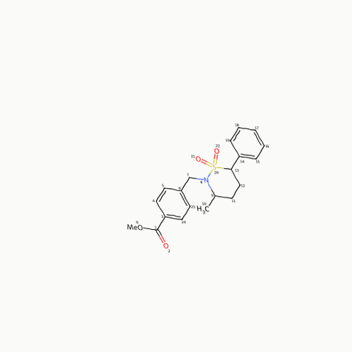 COC(=O)c1ccc(CN2C(C)CCC(c3ccccc3)S2(=O)=O)cc1